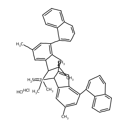 CC1=Cc2c(-c3cccc4ccccc34)cc(C)cc2[CH]1[Zr]([CH3])([CH3])(=[SiH2])[CH]1C(C)=Cc2c(-c3cccc4ccccc34)cc(C)cc21.Cl.Cl